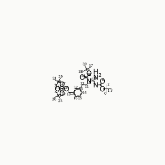 CC(C)(C)OC(=O)N=C(N)N(CCc1cccc(COP(=O)(OC(C)(C)C)OC(C)(C)C)c1)C(=O)OC(C)(C)C